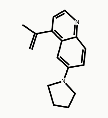 C=C(C)c1ccnc2ccc(N3CCCC3)cc12